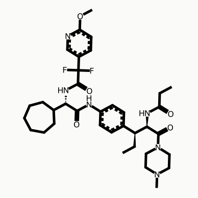 CCC(=O)N[C@@H](C(=O)N1CCN(C)CC1)[C@@H](CC)c1ccc(NC(=O)[C@@H](NC(=O)C(F)(F)c2ccc(OC)nc2)C2CCCCCC2)cc1